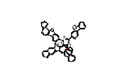 c1ccc2cc(-c3nc(-c4ccc5c(c4)oc4ccccc45)nc(-c4cc5sc6c7ccccc7ccc6c5cc4-n4c5cc6ccccc6cc5c5cc6ccccc6cc54)n3)ccc2c1